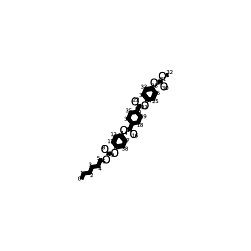 CCCCCCOC(=O)Oc1ccc(OC(=O)C2CCC(C(=O)Oc3ccc(OC(=O)OC)cc3)CC2)cc1